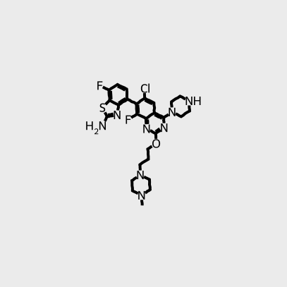 CN1CCN(CCCOc2nc(N3CCNCC3)c3cc(Cl)c(-c4ccc(F)c5sc(N)nc45)c(F)c3n2)CC1